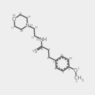 COc1ccc(CCC(=S)NCCN2CCOCC2)cc1